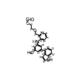 O=COCCOCc1ncccc1Nc1cc(O)cc(-c2cccc3[nH]ccc23)c1